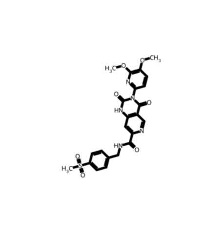 COc1ccc(-n2c(=O)[nH]c3cc(C(=O)NCc4ccc(S(C)(=O)=O)cc4)ncc3c2=O)nc1OC